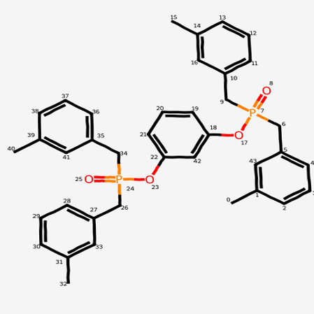 Cc1cccc(CP(=O)(Cc2cccc(C)c2)Oc2cccc(OP(=O)(Cc3cccc(C)c3)Cc3cccc(C)c3)c2)c1